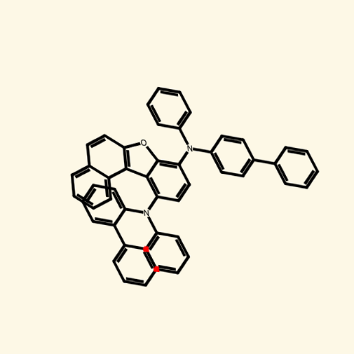 c1ccc(-c2ccc(N(c3ccccc3)c3ccc(N(c4ccccc4)c4ccccc4-c4ccccc4)c4c3oc3ccc5ccccc5c34)cc2)cc1